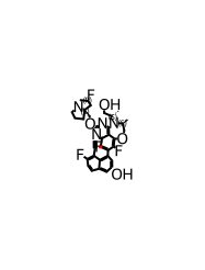 C#Cc1c(F)ccc2cc(O)cc(-c3c(F)c4c5c(nc(OC[C@@]67CCCN6C[C@H](F)C7)nc5c3F)N([C@@H](C)CO)[C@@H](C)CO4)c12